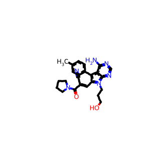 Cc1ccc(-c2c(C=C(C#N)C(=O)N3CCCC3)n(CCCO)c3ncnc(N)c23)cc1